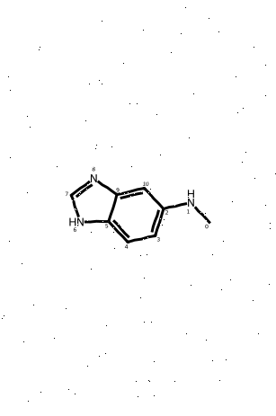 CNc1ccc2[nH]cnc2c1